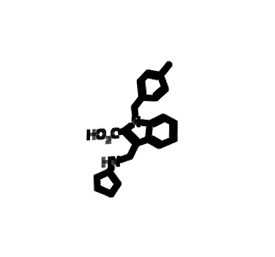 Cc1ccc(Cn2c(C(=O)O)c(CNC3CCCC3)c3ccccc32)cc1